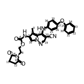 Cc1c(NC(=O)OCCN2C(=O)CCC2=O)cn2ncc(C#N)c(Nc3ccc(Oc4ccccc4)cc3)c12